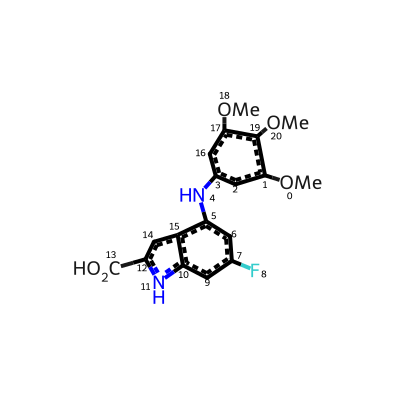 COc1cc(Nc2cc(F)cc3[nH]c(C(=O)O)cc23)cc(OC)c1OC